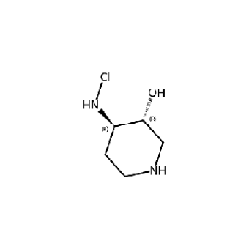 O[C@@H]1CNCC[C@H]1NCl